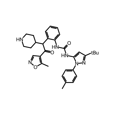 Cc1ccc(-n2nc(C(C)(C)C)cc2NC(=O)Nc2ccccc2C(C(=O)c2cnoc2C)C2CCNCC2)cc1